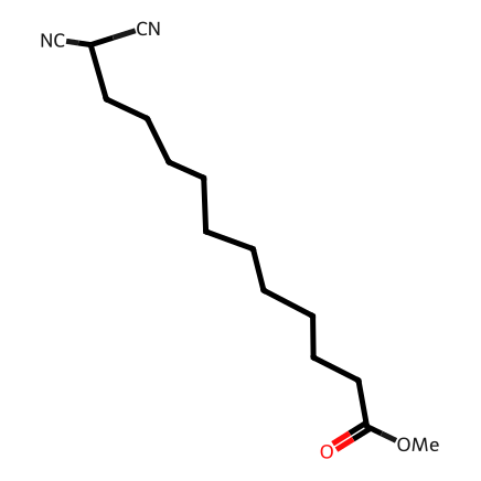 COC(=O)CCCCCCCCCCC(C#N)C#N